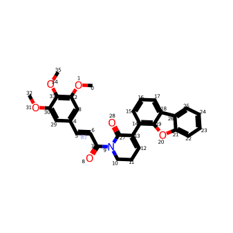 COc1cc(/C=C/C(=O)N2CCC=C(c3cccc4c3oc3ccccc34)C2=O)cc(OC)c1OC